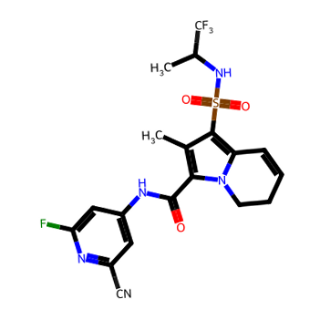 Cc1c(S(=O)(=O)NC(C)C(F)(F)F)c2n(c1C(=O)Nc1cc(F)nc(C#N)c1)CCC=C2